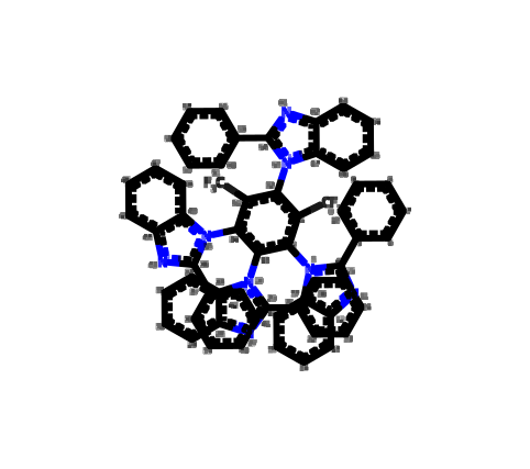 FC(F)(F)c1c(-n2c(-c3ccccc3)nc3ccccc32)c(-n2c(-c3ccccc3)nc3ccccc32)c(-n2c(-c3ccccc3)nc3ccccc32)c(C(F)(F)F)c1-n1c(-c2ccccc2)nc2ccccc21